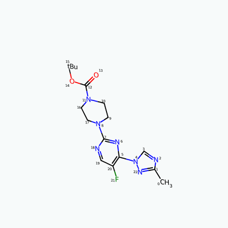 Cc1ncn(-c2nc(N3CCN(C(=O)OC(C)(C)C)CC3)ncc2F)n1